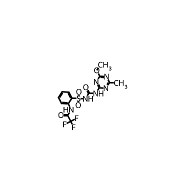 COc1nc(C)nc(NC(=O)NS(=O)(=O)c2ccccc2NC(=O)C(F)(F)F)n1